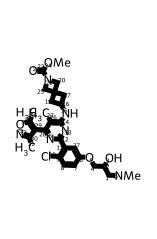 CNCC(O)COc1ccc(Cl)c(-c2nc(NC3CC4(C3)CN(C(=O)OC)C4)c(C)c(-c3c(C)noc3C)n2)c1